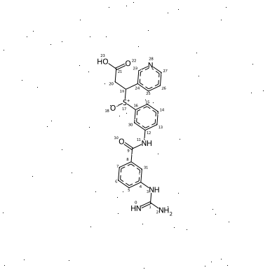 N=C(N)Nc1cccc(C(=O)Nc2cccc([S+]([O-])C(CC(=O)O)c3cccnc3)c2)c1